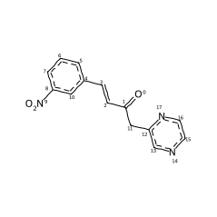 O=C(C=Cc1cccc([N+](=O)[O-])c1)Cc1cnccn1